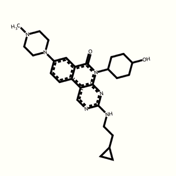 CN1CCN(c2ccc3c(c2)c(=O)n(C2CCC(O)CC2)c2nc(NCCC4CC4)ncc32)CC1